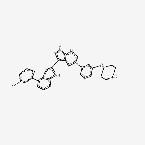 Fc1cccc(-c2cccc3[nH]c(-c4n[nH]c5ncc(-c6cncc(OC7CCNCC7)c6)cc45)cc23)c1